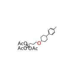 CC(=O)O[Si](CCCOC1CCC(c2ccc(C)cc2)CC1)(OC(C)=O)OC(C)=O